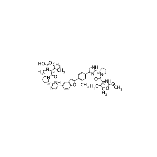 COC(=O)N[C@H](C(=O)N1CCC[C@H]1c1nc(-c2ccc(-c3cc4cc(-c5cnc([C@@H]6CCCN6C(=O)[C@H](C(C)C)N(C)C(=O)O)[nH]5)ccc4o3)c(C)c2)c[nH]1)C(C)C